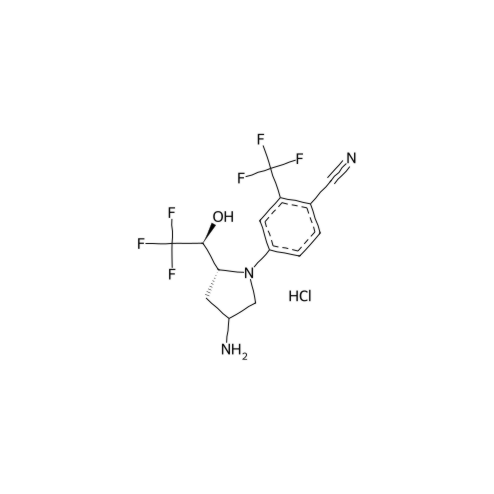 Cl.N#Cc1ccc(N2CC(N)C[C@@H]2[C@H](O)C(F)(F)F)cc1C(F)(F)F